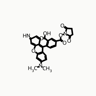 CN(C)c1ccc2c(-c3ccc(C(=O)ON4C(=O)CCC4=O)cc3C(=O)O)c3ccc(=N)cc-3oc2c1